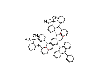 CC1(C)c2ccccc2N(c2ccccc2)c2c(-c3cccc4c(-c5c6ccccc6c(-c6ccccc6)c6ccccc56)c5cccc(-c6cccc7c6N(c6ccccc6)c6ccccc6C7(C)C)c5cc34)cccc21